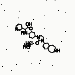 Cl.Cl.Cl.O=C(O)C(N[C@H]1CC[C@H](N2CCN(c3ccc4c(c3)CCNCC4)C2=O)CC1)c1cccnc1